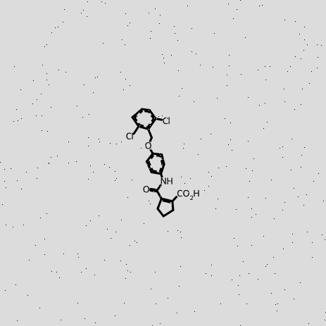 O=C(O)C1=C(C(=O)Nc2ccc(OCc3c(Cl)cccc3Cl)cc2)CCC1